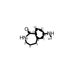 O=C1NCCCc2cc(NI)ccc21